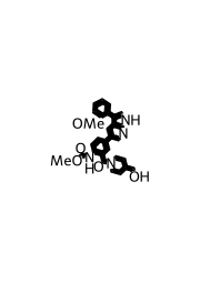 COC(=O)Nc1ccc(-c2cnc3[nH]cc(-c4ccccc4OC)c3c2)cc1C(=O)N1CCC(CO)CC1